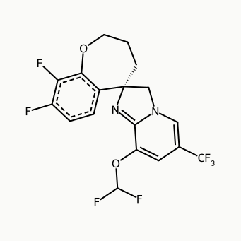 Fc1ccc2c(c1F)OCCC[C@@]21CN2C=C(C(F)(F)F)C=C(OC(F)F)C2=N1